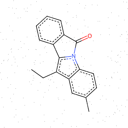 CCc1c2n(c3ccc(C)cc13)C(=O)c1ccccc1-2